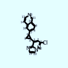 Clc1cc(C2CC2c2ccc3cnccc3c2)c2nccn2n1